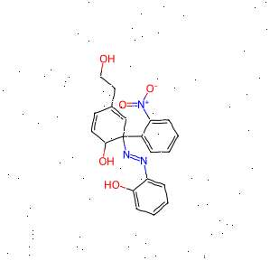 O=[N+]([O-])c1ccccc1C1(N=Nc2ccccc2O)C=C(CCO)C=CC1O